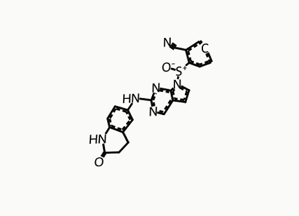 N#Cc1ccccc1[S+]([O-])n1ccc2cnc(Nc3ccc4c(c3)CCC(=O)N4)nc21